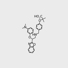 CN(C)c1cccc(OC(CNCc2ccc(OC(C)(C)C(=O)O)cc2)c2nc3ccccc3o2)c1